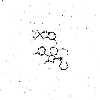 CC1CC2(CCN1Cc1cccc(OC(C)(C)C)c1)C(NC1CCCCC1)=NC(=O)N2c1cccc(F)c1